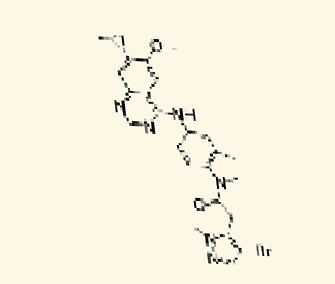 COc1cc2ncnc(Nc3ccc4c(c3)CCN4C(=O)Cc3c(Br)cnn3C)c2cc1OC